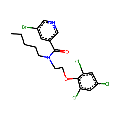 CCCCCN(CCOc1c(Cl)cc(Cl)cc1Cl)C(=O)c1cncc(Br)c1